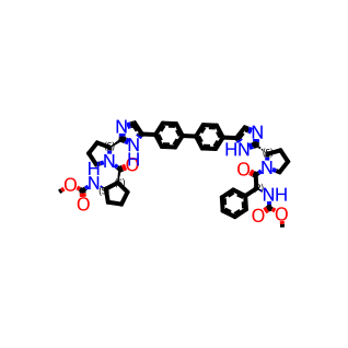 COC(=O)N[C@H]1CCC[C@@H]1C(=O)N1CCC[C@H]1c1ncc(-c2ccc(-c3ccc(-c4cnc([C@@H]5CCCN5C(=O)[C@H](NC(=O)OC)c5ccccc5)[nH]4)cc3)cc2)[nH]1